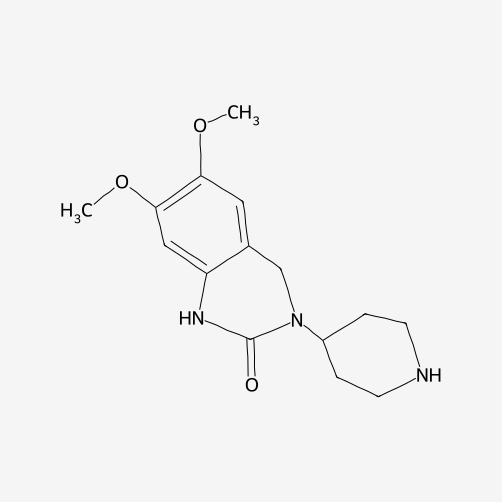 COc1cc2c(cc1OC)NC(=O)N(C1CCNCC1)C2